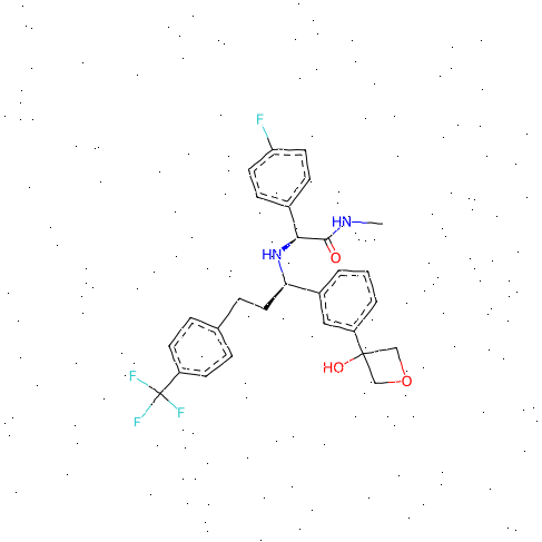 CNC(=O)[C@@H](N[C@H](CCc1ccc(C(F)(F)F)cc1)c1cccc(C2(O)COC2)c1)c1ccc(F)cc1